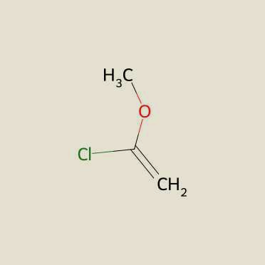 C=C(Cl)OC